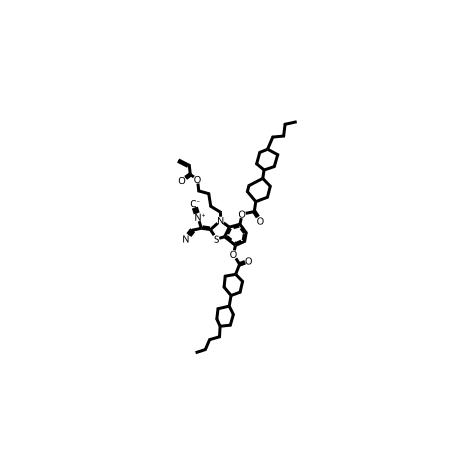 [C-]#[N+]/C(C#N)=C1/Sc2c(OC(=O)C3CCC(C4CCC(CCCC)CC4)CC3)ccc(OC(=O)C3CCC(C4CCC(CCCC)CC4)CC3)c2N1CCCCOC(=O)C=C